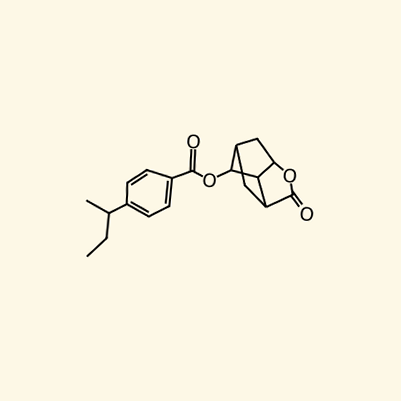 CCC(C)c1ccc(C(=O)OC2C3CC4OC(=O)C(C3)C42)cc1